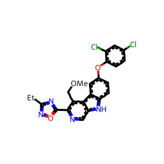 CCc1noc(-c2ncc3[nH]c4ccc(Oc5ccc(Cl)cc5Cl)cc4c3c2COC)n1